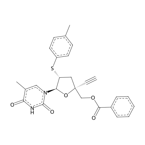 C#C[C@@]1(COC(=O)c2ccccc2)C[C@@H](Sc2ccc(C)cc2)[C@H](n2cc(C)c(=O)[nH]c2=O)O1